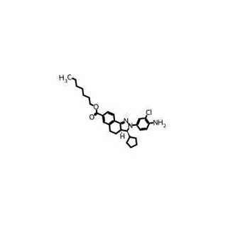 CCCCCCCOC(=O)c1ccc2c(c1)CC[C@H]1C2=NN(c2ccc(N)c(Cl)c2)[C@H]1C1CCCC1